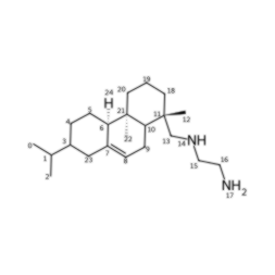 CC(C)C1CC[C@@H]2C(=CCC3[C@@](C)(CNCCN)CCC[C@@]32C)C1